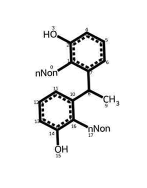 CCCCCCCCCc1c(O)cccc1C(C)c1cccc(O)c1CCCCCCCCC